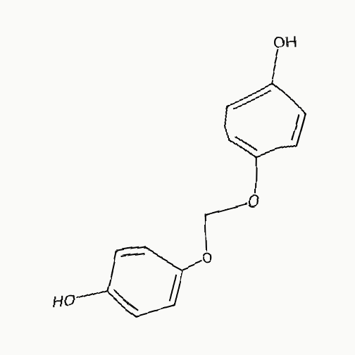 Oc1ccc(OCOc2ccc(O)cc2)cc1